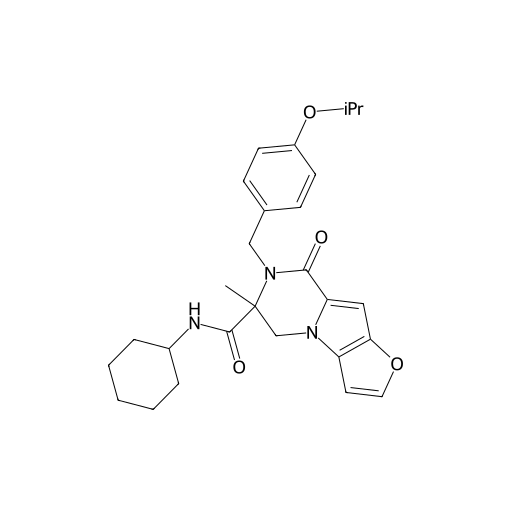 CC(C)Oc1ccc(CN2C(=O)c3cc4occc4n3CC2(C)C(=O)NC2CCCCC2)cc1